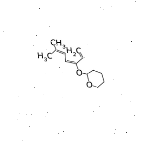 C=C/C(=C\C=C(C)C)OC1CCCCO1